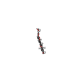 CCC(C)C(=O)OCCOCCOc1ccc(C(=O)Oc2ccc(C(=O)Oc3ccc(NNc4ccc(C(=O)OC)cc4)cc3C)cc2)cc1